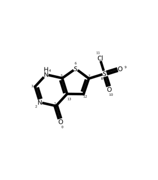 O=c1nc[nH]c2sc(S(=O)(=O)Cl)cc12